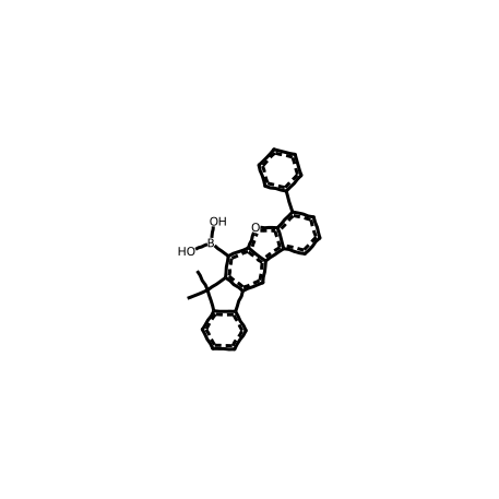 CC1(C)c2ccccc2-c2cc3c(oc4c(-c5ccccc5)cccc43)c(B(O)O)c21